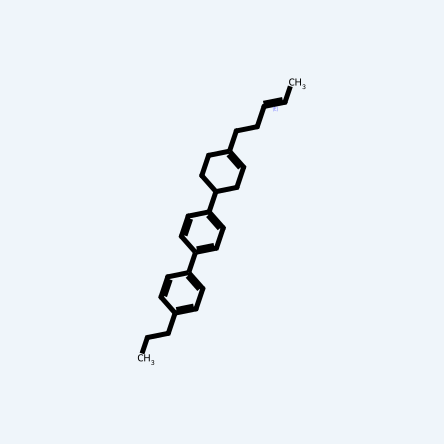 C/C=C/CCC1=CCC(c2ccc(-c3ccc(CCC)cc3)cc2)CC1